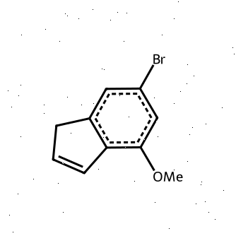 COc1cc(Br)cc2c1C=CC2